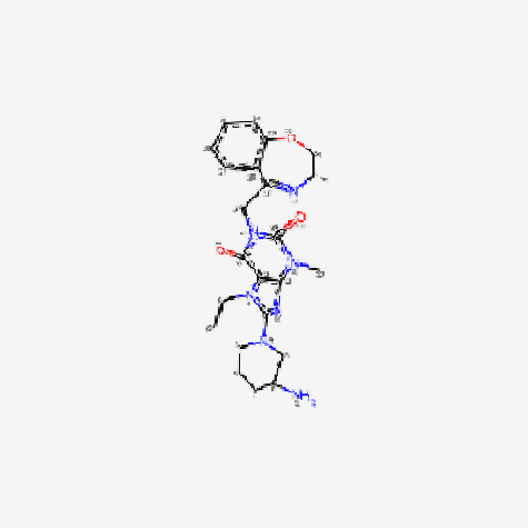 CCn1c(N2CCCC(N)C2)nc2c1c(=O)n(CC1=NCCOc3ccccc31)c(=O)n2C